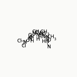 Cn1cc(NC(=O)c2cc(NC(=O)c3cc(NC(=O)n4cc5cc(N(CCCl)CCCl)ccc5n4)cn3C)cn2C)cc1C(=O)NCCC#N